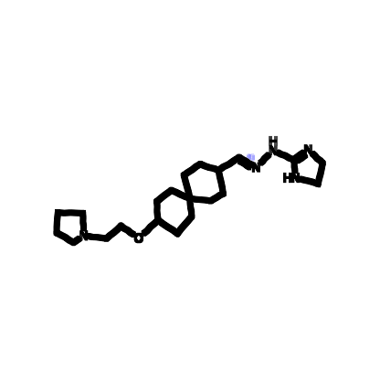 C(=N\NC1=NCCN1)/C1CCC2(CC1)CCC(OCCN1CCCC1)CC2